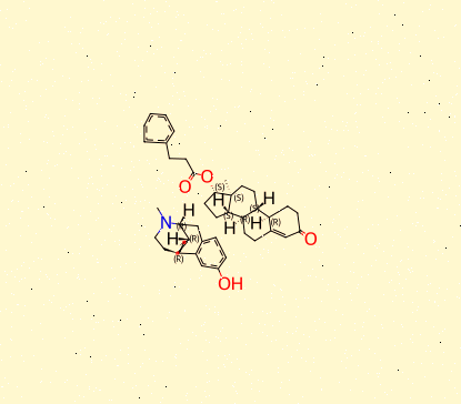 CN1CC[C@]23CCCC[C@H]2[C@H]1Cc1ccc(O)cc13.C[C@]12CC[C@H]3[C@@H](CCC4=CC(=O)CC[C@@H]43)[C@@H]1CC[C@@H]2OC(=O)CCc1ccccc1